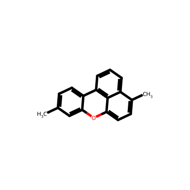 Cc1ccc2c(c1)Oc1ccc(C)c3cccc-2c13